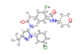 CC(C(=O)N(C)c1cc(C(C)(C)C)nn1-c1cccc(Cl)c1)c1ccc(C(=O)NC2CCOCC2)c(F)c1